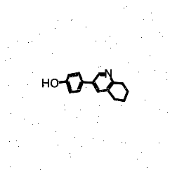 Oc1ccc(-c2cnc3c(c2)CCCC3)cc1